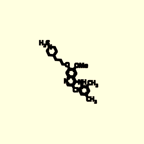 COc1cc2c(Nc3ccc(C)cc3C)c(C#N)cnc2cc1OCCCC1CCN(C)CC1